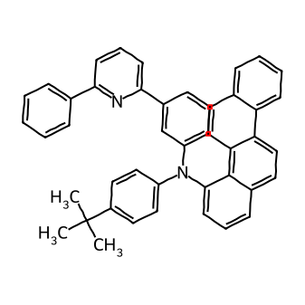 CC(C)(C)c1ccc(N(c2cccc(-c3cccc(-c4ccccc4)n3)c2)c2cccc3ccc4c5ccccc5ccc4c23)cc1